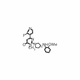 COc1ccccc1N[C@@H]1CCN(c2nc(-c3ccncc3F)cc(=O)n2C)C1